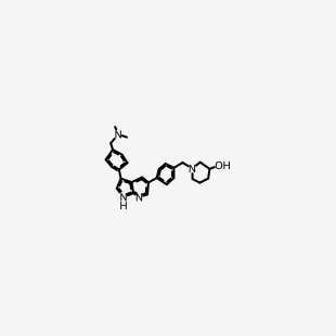 CN(C)Cc1ccc(-c2c[nH]c3ncc(-c4ccc(CN5CCCC(O)C5)cc4)cc23)cc1